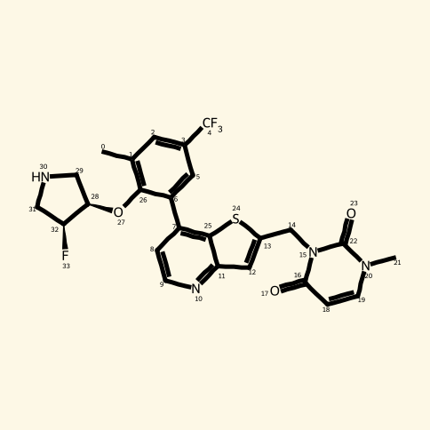 Cc1cc(C(F)(F)F)cc(-c2ccnc3cc(Cn4c(=O)ccn(C)c4=O)sc23)c1O[C@@H]1CNC[C@@H]1F